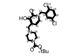 CC(C)(C)OC(=O)N1CCN(Cc2ccn(Cc3cc(Cl)ccc3Cl)c(=O)c2O)CC1